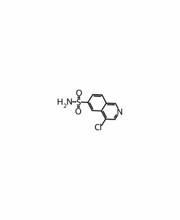 NS(=O)(=O)c1ccc2cncc(Cl)c2c1